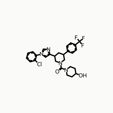 O=C(N1CCC(O)CC1)N1CC(c2ccc(C(F)(F)F)cc2)CC(c2cn(-c3ccccc3Cl)cn2)C1